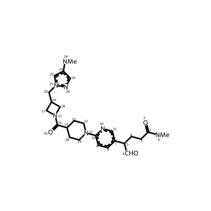 CNC(=O)CCC(C=O)c1ccc(N2CCC(C(=O)N3CC(Cn4cc(NC)cn4)C3)CC2)nc1